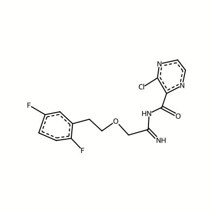 N=C(COCCc1cc(F)ccc1F)NC(=O)c1nccnc1Cl